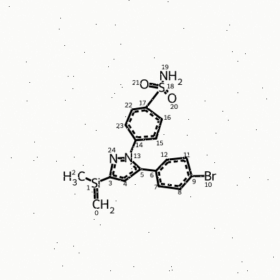 C=[Si](C)c1cc(-c2ccc(Br)cc2)n(-c2ccc(S(N)(=O)=O)cc2)n1